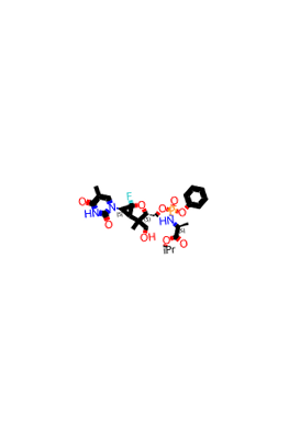 Cc1cn([C@H]2C3C(C)(CO)[C@@H](COP(=O)(N[C@@H](C)C(=O)OC(C)C)Oc4ccccc4)OC32F)c(=O)[nH]c1=O